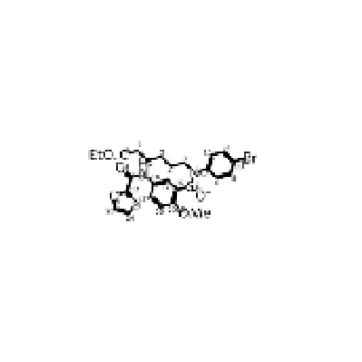 CCOC(=O)CCCCCN(c1ccc(Br)cc1)[S+]([O-])c1cc(NC(=O)c2ncco2)ccc1OC